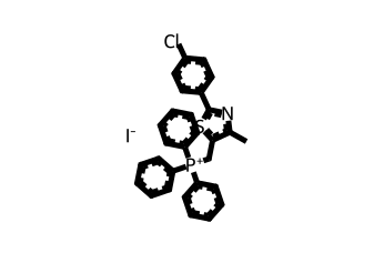 Cc1nc(-c2ccc(Cl)cc2)sc1C[P+](c1ccccc1)(c1ccccc1)c1ccccc1.[I-]